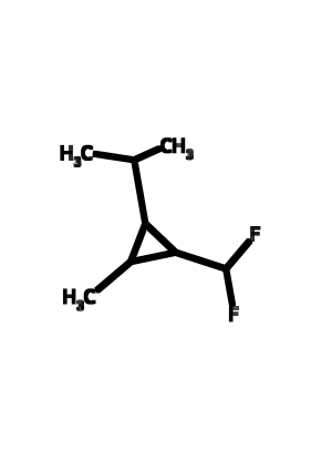 CC(C)C1C(C)C1C(F)F